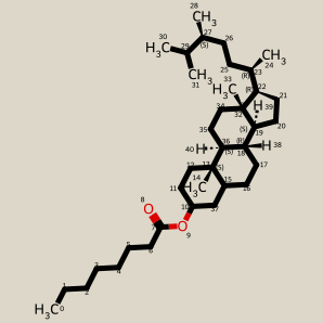 CCCCCCCC(=O)OC1CC[C@@]2(C)C(CC[C@H]3[C@@H]4CC[C@H]([C@H](C)CC[C@H](C)C(C)C)[C@@]4(C)CC[C@@H]32)C1